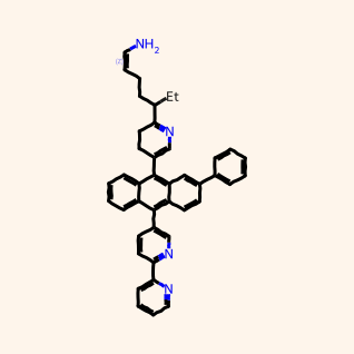 CCC(CC/C=C\N)C1=NC=C(c2c3ccccc3c(-c3ccc(-c4ccccn4)nc3)c3ccc(-c4ccccc4)cc23)CC1